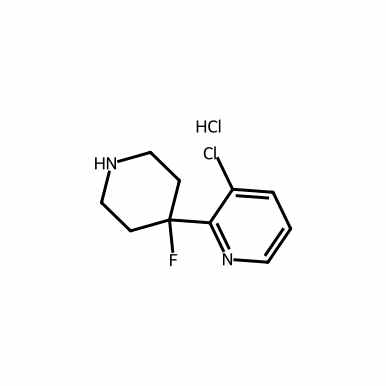 Cl.FC1(c2ncccc2Cl)CCNCC1